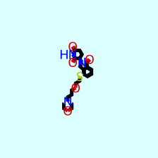 O=C1CCC(N2Cc3c(SCCOCCCN4CCOCC4)cccc3C2=O)C(=O)N1